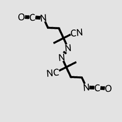 CC(C#N)(CCN=C=O)N=NC(C)(C#N)CCN=C=O